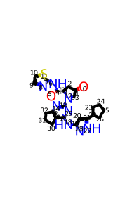 O=C1C[C@H](C(=O)Nc2nccs2)N(c2nc3c(c(Nc4cc(C5CCCC5)[nH]n4)n2)CCC3)C1